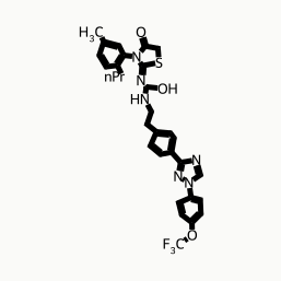 CCCc1ccc(C)cc1N1C(=O)CS/C1=N\C(O)NCCc1ccc(-c2ncn(-c3ccc(OC(F)(F)F)cc3)n2)cc1